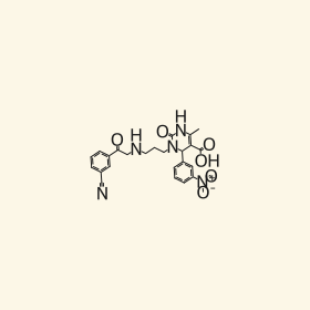 CC1=C(C(=O)O)C(c2cccc([N+](=O)[O-])c2)N(CCCNCC(=O)c2cccc(C#N)c2)C(=O)N1